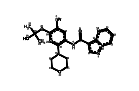 CCCc1cc(NC(=O)c2cnn3cccnc23)c(N2CCOCC2)nc1OC(C)(C)O